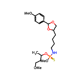 COCCC(C)OP(=S)(NCCCCC1COC(c2ccc(OC)cc2)O1)OC